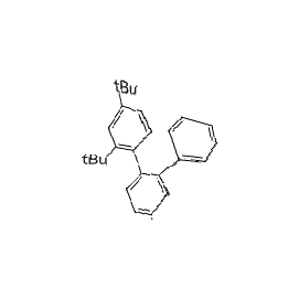 CC(C)(C)c1ccc(-c2cc[c]cc2-c2ccccc2)c(C(C)(C)C)c1